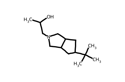 CC(O)CN1CC2CC(C(C)(C)C)CC2C1